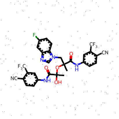 CC(O)(OC(C)(Cn1cnc2cc(F)ccc21)C(=O)Nc1ccc(C#N)c(C(F)(F)F)c1)C(=O)Nc1ccc(C#N)c(C(F)(F)F)c1